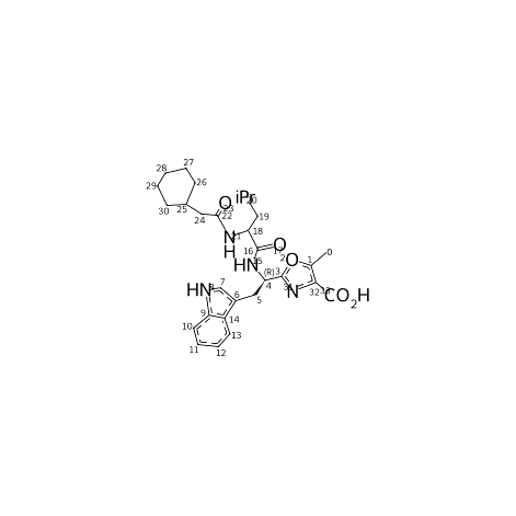 Cc1oc([C@@H](Cc2c[nH]c3ccccc23)NC(=O)C(CC(C)C)NC(=O)CC2CCCCC2)nc1C(=O)O